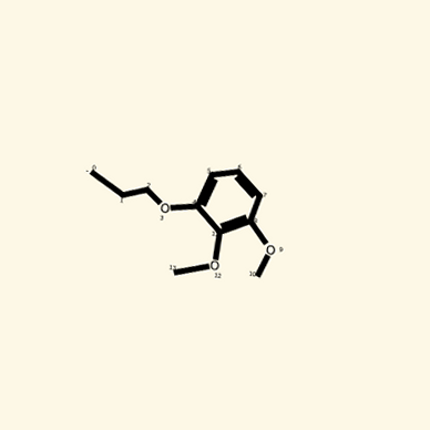 [CH2]CCOc1cccc(OC)c1OC